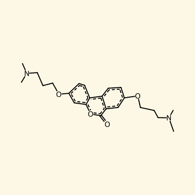 CN(C)CCCOc1ccc2c(c1)oc(=O)c1cc(OCCCN(C)C)ccc12